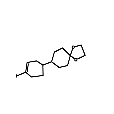 IC1=CCC(C2CCC3(CC2)OCCO3)CC1